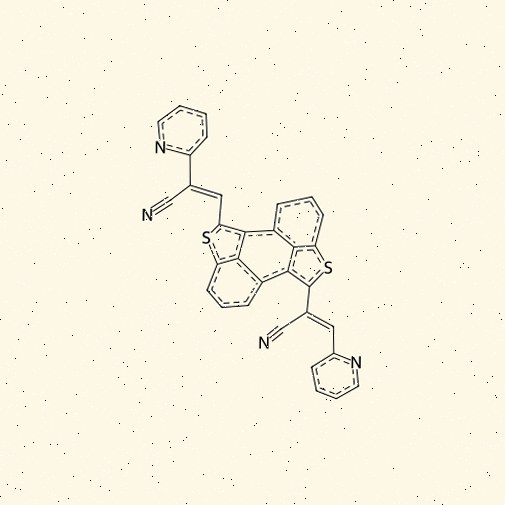 N#C/C(=C\c1sc2cccc3c4c(/C(C#N)=C/c5ccccn5)sc5cccc(c1c23)c54)c1ccccn1